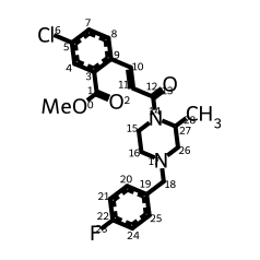 COC(=O)c1cc(Cl)ccc1/C=C/C(=O)N1CCN(Cc2ccc(F)cc2)CC1C